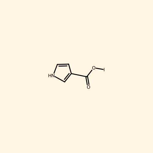 O=C(OI)c1cc[nH]c1